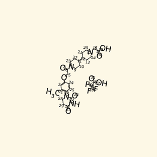 Cc1cc(OCC(=O)N2CCC(C3CCN(CC(=O)O)CC3)CC2)ccc1N1CCC(=O)NC1=O.O=C(O)C(F)(F)F